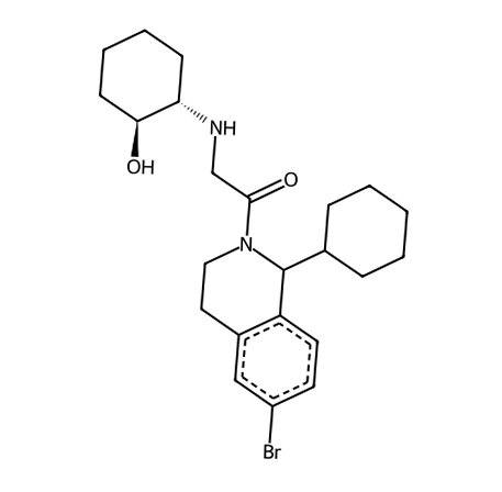 O=C(CN[C@H]1CCCC[C@@H]1O)N1CCc2cc(Br)ccc2C1C1CCCCC1